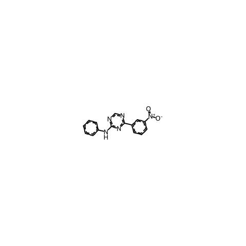 O=[N+]([O-])c1cccc(-c2ncnc(Nc3ccccc3)n2)c1